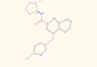 O=C(N[C@H]1CCC[C@@H]1O)c1cc(Cc2ccc(Cl)nc2)c2ccccc2n1